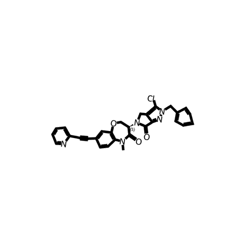 CN1C(=O)[C@@H](N2Cc3c(nn(Cc4ccccc4)c3Cl)C2=O)COc2cc(C#Cc3ccccn3)ccc21